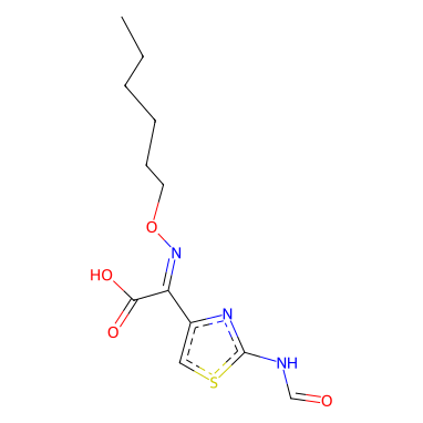 CCCCCCO/N=C(\C(=O)O)c1csc(NC=O)n1